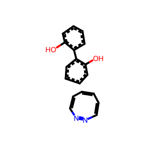 C1=CC=CN=NC=C1.Oc1ccccc1-c1ccccc1O